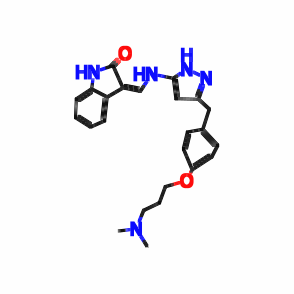 CN(C)CCCOc1ccc(Cc2cc(NC=C3C(=O)Nc4ccccc43)[nH]n2)cc1